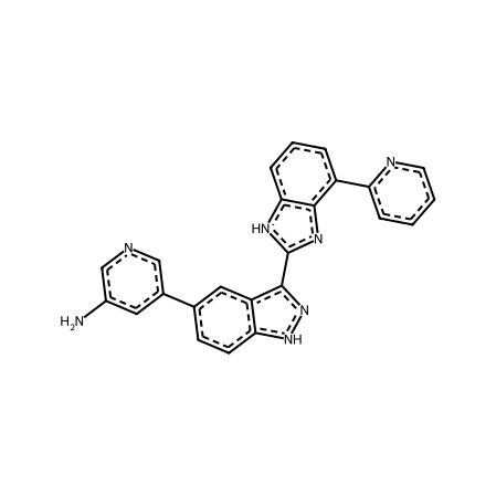 Nc1cncc(-c2ccc3[nH]nc(-c4nc5c(-c6ccccn6)cccc5[nH]4)c3c2)c1